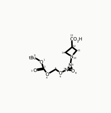 CC(C)(C)OC(=O)OCOn1on1N1CC(C(=O)O)C1